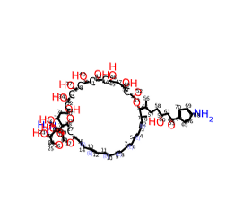 CC1/C=C/C=C/C=C/C=C/C=C/C=C/C=C/C(O[C@H]2C[C@@H](N)[C@H](O)[C@@H](C)O2)CC2OC(O)(CC(O)CC(O)CC(O)CC(O)CC(O)CC(O)CC(=O)OC1C(C)CCC(O)CC(=O)c1ccc(N)cc1)CC(O)C2C(=O)O